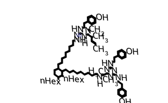 C=NC(N/C(=N\NCCCCCCCCCC1CCC(CCCCCC)C(CCCCCC)C1CCCCCCCCCNC(C)(C)c1nc(NCCc2ccc(O)cc2)nc(NCCc2ccc(O)cc2)n1)NCCc1ccc(O)cc1)C(C)C=CC